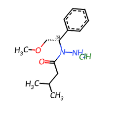 COC[C@H](c1ccccc1)N(N)C(=O)CC(C)C.Cl